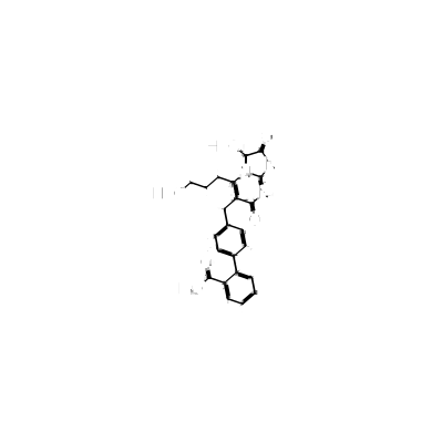 CCCCc1c(Cc2ccc(-c3ccccc3C(=O)O)cc2)c(=O)nc2n1C(C)C(=O)N2